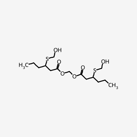 CCCC(CC(=O)OCOC(=O)CC(CCC)SCO)SCO